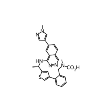 C[C@@H](Nc1nncc2ccc(-c3cnn(C)c3)cc12)c1cc(-c2ccccc2CN(C)C(=O)O)cs1